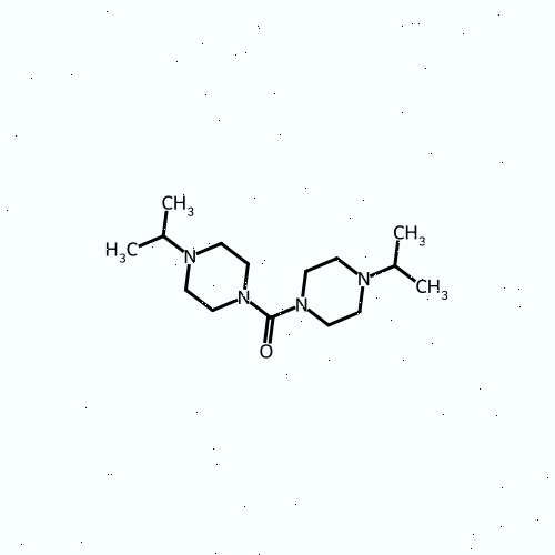 CC(C)N1CCN(C(=O)N2CCN(C(C)C)CC2)CC1